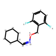 Fc1cccc(F)c1CO/N=[C]\C1CCCCC1